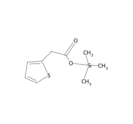 C[Si](C)(C)OC(=O)Cc1cccs1